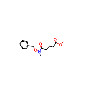 COC(=O)CCCC(=O)N(C)OCc1ccccc1